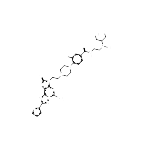 CCC(CC)N(C)CCNC(=O)c1ccc(N2CCN(CCn3c(=O)sc4c3nc(N)n3nc(-c5ccco5)nc43)CC2)c(F)c1